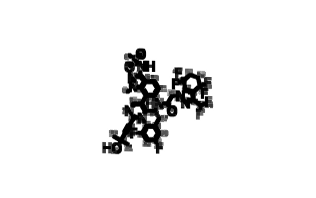 Cn1nc(NS(C)(=O)=O)c2cccc(-c3cnc(C#CC(C)(C)O)nc3[C@H](Cc3cc(F)cc(F)c3)NC(=O)Cn3nc(C(F)F)c4c3C(F)(F)CCC4(F)F)c21